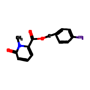 Cn1c(C(=O)OCc2ccc([123I])cc2)cccc1=O